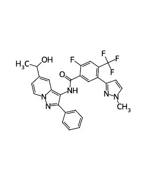 CC(O)c1ccn2nc(-c3ccccc3)c(NC(=O)c3cc(-c4ccn(C)n4)c(C(F)(F)F)cc3F)c2c1